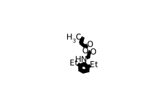 CC=CC(=O)OC(=O)CNc1c(CC)cccc1CC